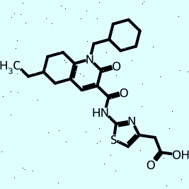 CCC1CCc2c(cc(C(=O)Nc3nc(CC(=O)O)cs3)c(=O)n2CC2CCCCC2)C1